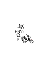 Cc1nc(C)c(C(=O)Nc2ccc(F)c(-c3nc4ncc(C5=CC6C=CC5N6C(=O)OC(C)(C)C)cn4n3)c2)o1